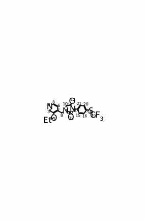 CCOc1cnccc1CN1CC(=O)N(c2ccc(SC(F)(F)F)cc2)C1=O